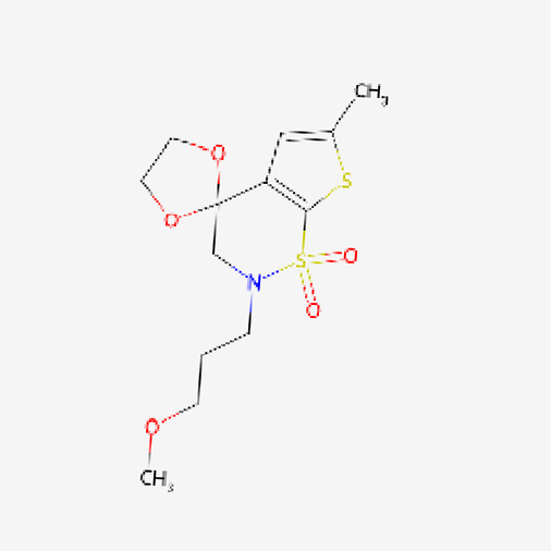 COCCCN1CC2(OCCO2)c2cc(C)sc2S1(=O)=O